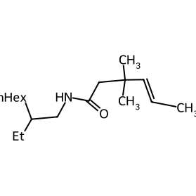 C/C=C/C(C)(C)CC(=O)NCC(CC)CCCCCC